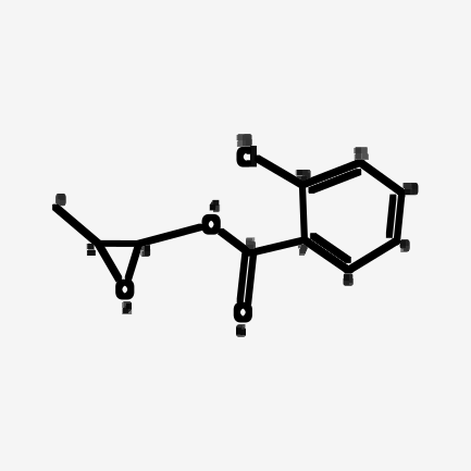 CC1OC1OC(=O)c1ccccc1Cl